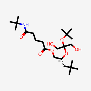 CC(C)(C)C[C@H](COC(=O)CCCC(=O)NC(C)(C)C)OC(CO)(CO)OC(C)(C)C